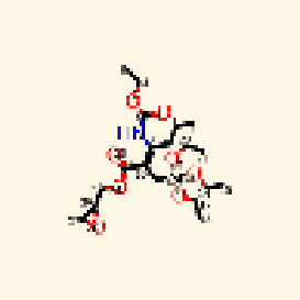 CCCC(NC(=O)OCC)=C(C[Si](OCC)(OCC)OCC)C(=O)OCC1CO1